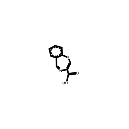 O=C(O)C1=CSc2ccccc2C=N1